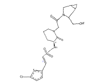 O=C1[C@@H](NS(=O)(=O)/C=C/c2ccc(Cl)s2)CCCN1CC(=O)N1CC2CC2C1CO